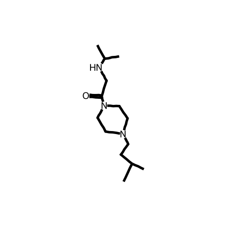 CC(C)CCN1CCN(C(=O)CNC(C)C)CC1